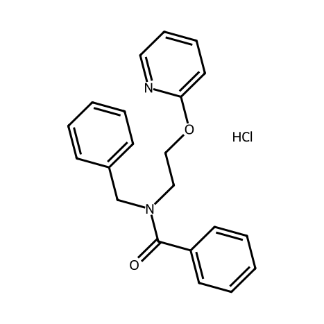 Cl.O=C(c1ccccc1)N(CCOc1ccccn1)Cc1ccccc1